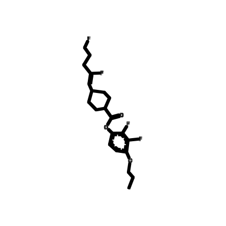 CCCOc1ccc(OC(=O)C2CCC(/C=C(\F)CCCF)CC2)c(F)c1F